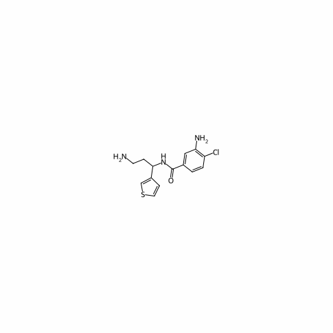 NCCC(NC(=O)c1ccc(Cl)c(N)c1)c1ccsc1